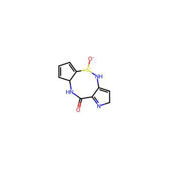 O=C1NC2C=CC=C2[S+]([O-])NC2=CCN=C12